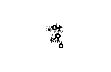 O=C(OC1CCCC1)c1ccc(NC(=O)C2(c3ccc(OC(F)(F)F)cc3F)CC2)cc1-c1nnn[nH]1